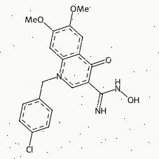 COc1cc2c(=O)c(C(=N)NO)cn(Cc3ccc(Cl)cc3)c2cc1OC